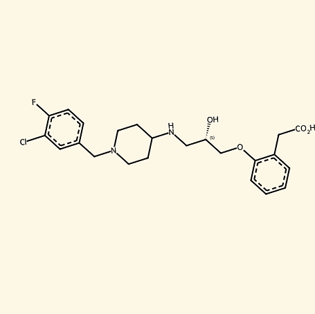 O=C(O)Cc1ccccc1OC[C@@H](O)CNC1CCN(Cc2ccc(F)c(Cl)c2)CC1